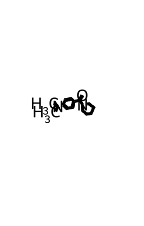 CN(C)c1ccc(C(=O)N2CCCCC2)cc1